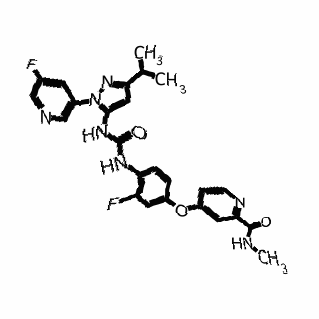 CNC(=O)c1cc(Oc2ccc(NC(=O)Nc3cc(C(C)C)nn3-c3cncc(F)c3)c(F)c2)ccn1